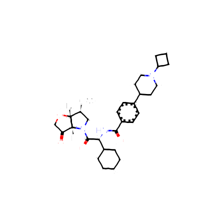 CO[C@H]1CN(C(=O)[C@@H](NC(=O)c2ccc(C3CCN(C4CCC4)CC3)cc2)C2CCCCC2)[C@@H]2C(=O)CO[C@H]12